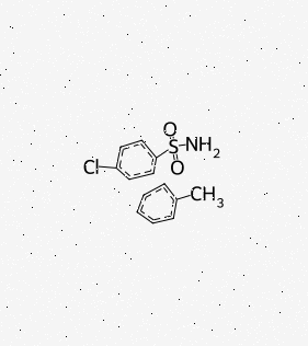 Cc1ccccc1.NS(=O)(=O)c1ccc(Cl)cc1